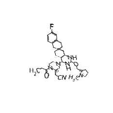 C=CC(=O)N1CCN(C2NC(OC[C@H]3CCCN3C)NC3C[C@@]4(CCc5cc(F)ccc5C4)CCC32)C[C@H]1CC#N